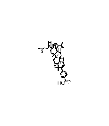 C=C(C)[C@@H]1CC[C@]2(NCCN(C)C)CC[C@]3(C)[C@H](CC[C@@H]4[C@@]5(C)CC=C(c6ccc(C(=O)O)cc6)C(C)(C)[C@@H]5CC[C@]43C)[C@@H]12